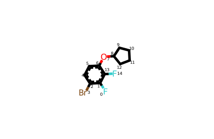 Fc1c(Br)ccc(OC2CCCC2)c1F